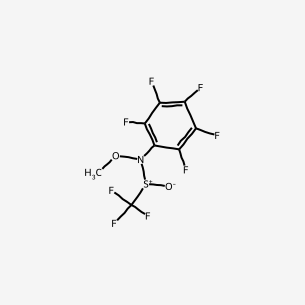 CON(c1c(F)c(F)c(F)c(F)c1F)[S+]([O-])C(F)(F)F